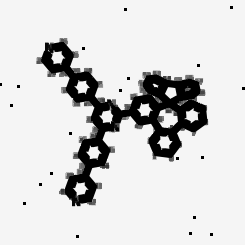 c1ccc2c(c1)-c1ccccc1C1(c3ccc(-c4nc(-c5ccc(-c6ccncc6)cc5)cc(-c5ccc(-c6ccncc6)cc5)n4)cc3-2)c2ccccc2-c2ccccc21